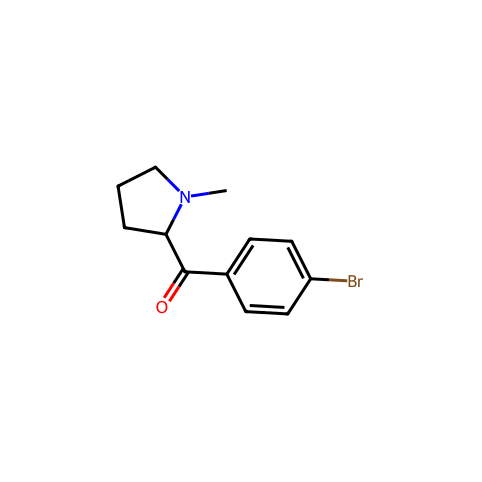 CN1CCCC1C(=O)c1ccc(Br)cc1